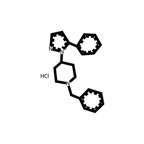 Cl.c1ccc(CN2CCC(n3nccc3-c3ccccc3)CC2)cc1